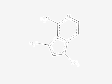 Cc1cc(C)n2ccnc(N)c12